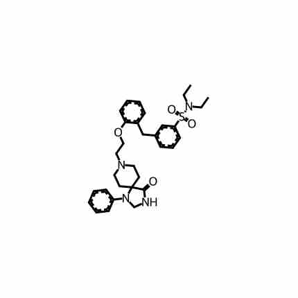 CCN(CC)S(=O)(=O)c1cccc(Cc2ccccc2OCCN2CCC3(CC2)C(=O)NCN3c2ccccc2)c1